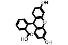 O=C(O)c1ccccc1C1C2=C(C=C(O)CC2)Oc2cc(O)ccc21